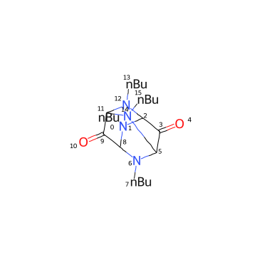 CCCCN1C2C(=O)C3N(CCCC)C1C(=O)C(N2CCCC)N3CCCC